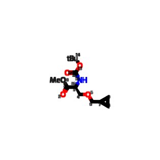 COC(=O)[C@H](COCC1CC1)NC(=O)OC(C)(C)C